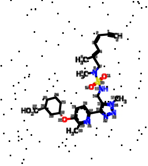 C#C/C=C\C=C(/C)CN(C)S(=O)(=O)NCc1c(-c2ccc(O[C@H]3CCC[C@H](C(=O)O)C3)c(C)n2)nnn1C